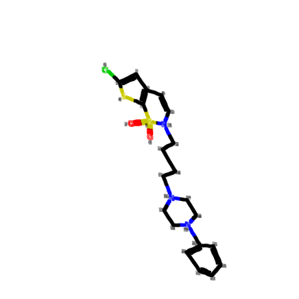 O=S1(=O)c2sc(Cl)cc2C=CN1CCCCN1CCN(c2ccccc2)CC1